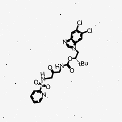 CC(C)(C)[C@@H](Cn1cnc2cc(Cl)c(Cl)cc21)OC(=O)NCC(=O)CNS(=O)(=O)c1ccccn1